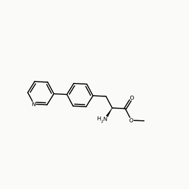 COC(=O)[C@@H](N)Cc1ccc(-c2cccnc2)cc1